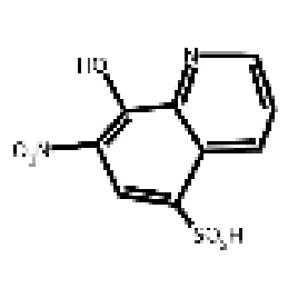 O=[N+]([O-])c1cc(S(=O)(=O)O)c2cccnc2c1O